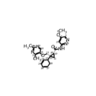 COc1cnnc(NC(=O)[C@@H]2C[C@@]2(COc2cnc(C)nc2C)C2C=CC=CC2)c1